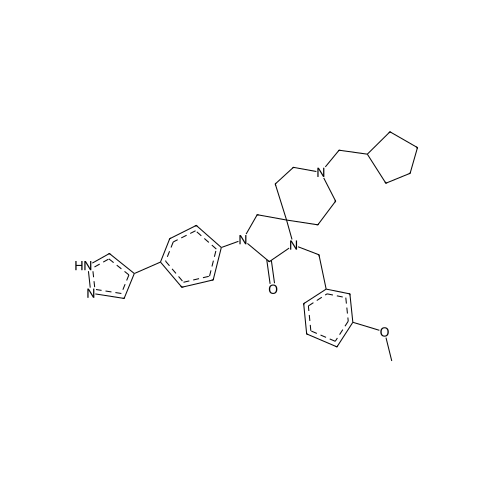 COc1cccc(CN2C(=O)N(c3ccc(-c4cn[nH]c4)cc3)CC23CCN(CC2CCCC2)CC3)c1